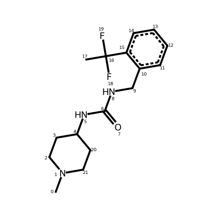 CN1CCC(NC(=O)NCc2ccccc2C(C)(F)F)CC1